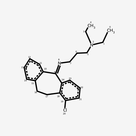 CCN(CC)CCC/N=C1/c2ccccc2CCc2c(Cl)cccc21